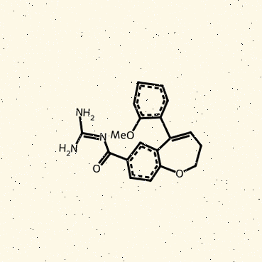 COc1ccccc1C1=CCCOc2ccc(C(=O)N=C(N)N)cc21